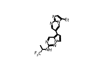 CCc1cnc2ncc(-c3ccn4nc(N[C@H](C)C(F)(F)F)ncc34)cn12